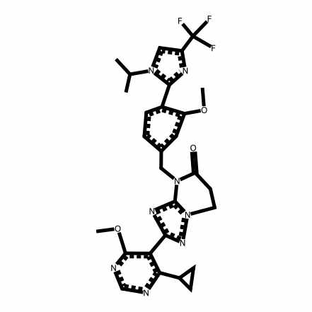 COc1cc(CN2C(=O)CCn3nc(-c4c(OC)ncnc4C4CC4)nc32)ccc1-c1nc(C(F)(F)F)cn1C(C)C